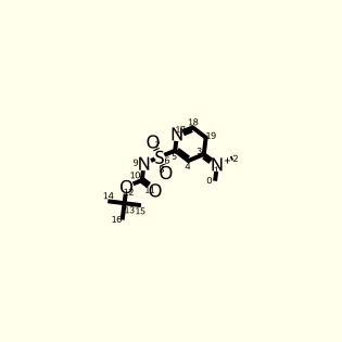 C[N+](C)=C1C=C(S(=O)(=O)[N-]C(=O)OC(C)(C)C)N=CC1